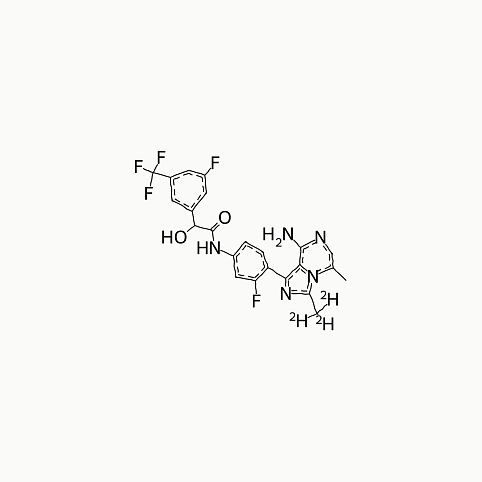 [2H]C([2H])([2H])c1nc(-c2ccc(NC(=O)C(O)c3cc(F)cc(C(F)(F)F)c3)cc2F)c2c(N)ncc(C)n12